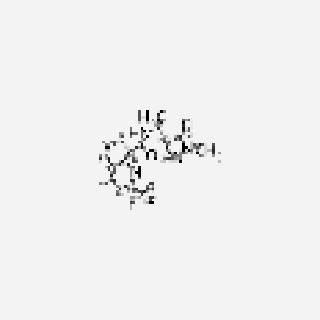 CC(NC(=O)c1cccc2ccc(C(F)(F)F)nc12)c1cnn(C)c1Cl